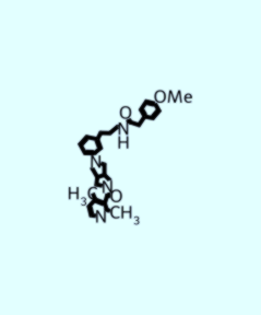 COc1ccc(CC(=O)NCCCc2cccc(N3CC4CN(C(=O)c5c(C)ccnc5C)CC4C3)c2)cc1